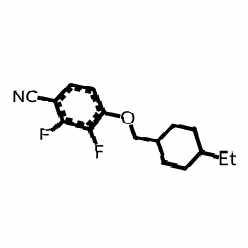 CCC1CCC(COc2ccc(C#N)c(F)c2F)CC1